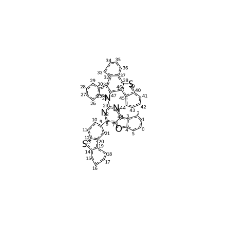 c1ccc2c(c1)oc1c(-c3ccc4sc5ccccc5c4c3)nc(-n3c4ccccc4c4c5ccccc5c5sc6ccccc6c5c43)nc12